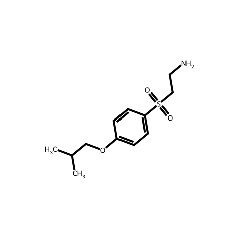 CC(C)COc1ccc(S(=O)(=O)CCN)cc1